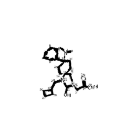 CN(C)[C@]1(c2ccccc2)CC[C@@]2(CC1)CN(CC(=O)O)C(O)N2CC1CCC1